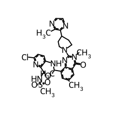 Cc1cc([C@@H](C)Nc2ccc(Cl)nc2C(=O)NS(C)(=O)=O)c2nc(N3CCC(c4nccnc4C)CC3)n(C)c(=O)c2c1